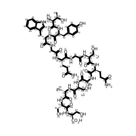 CC(C)[C@H](NC(=O)[C@H](CCC(N)=O)NC(=O)[C@@H](NC(=O)CNC(=O)[C@H](CCC(N)=O)NC(=O)CNC(=O)[C@H](Cc1c[nH]c2ccccc12)NC(=O)[C@H](Cc1ccc(O)cc1)NC(=O)[C@@H](N)[C@@H](C)O)[C@@H](C)O)C(=O)N[C@H](C(=O)N[C@H](C(=O)N[C@@H](CO)C(=O)N[C@@H](CO)C(=O)O)C(C)C)[C@@H](C)O